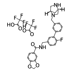 O=C(NCc1ccc(F)c(-c2cccc(CN3C[C@@H]4C[C@H]3CN4)c2)c1)c1ccc2c(c1)OCO2.O=C(O)C(F)(F)F.O=C(O)C(F)(F)F